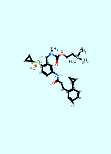 CN(Cc1cc(NC(=O)CCc2cc(I)ccc2C2CC2)ccc1S(=O)(=O)C1CC1)C(=O)OCC[Si](C)(C)C